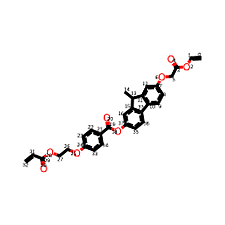 C=COC(=O)COc1ccc2c(c1)C(C)c1cc(OC(=O)c3ccc(OCCOC(=O)C=C)cc3)ccc1-2